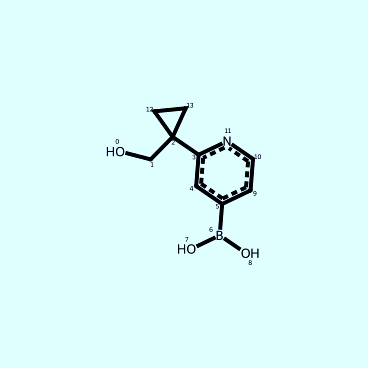 OCC1(c2cc(B(O)O)ccn2)CC1